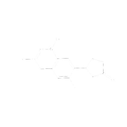 CCOC(=O)C1=CN(CC)c2cc(C3CCC(=O)C3)c(F)cc2C1